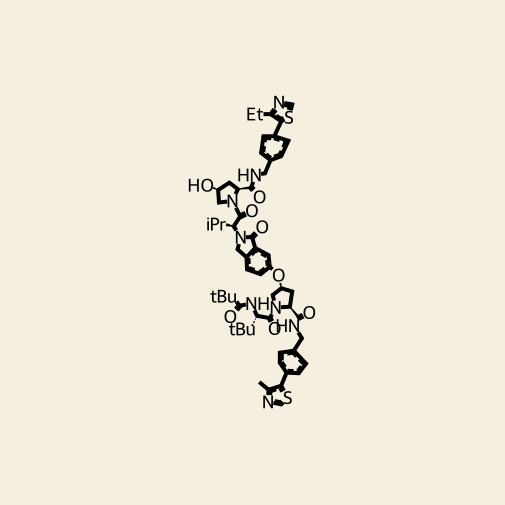 CCc1ncsc1-c1ccc(CNC(=O)[C@@H]2C[C@@H](O)CN2C(=O)[C@H](C(C)C)N2Cc3ccc(O[C@@H]4C[C@@H](C(=O)NCc5ccc(-c6scnc6C)cc5)N(C(=O)[C@@H](NC(=O)C(C)(C)C)C(C)(C)C)C4)cc3C2=O)cc1